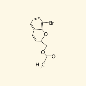 CC(=O)OCC1C=Cc2cccc(Br)c2O1